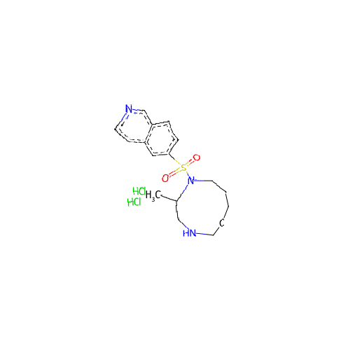 CC1CNCCCCCN1S(=O)(=O)c1ccc2cnccc2c1.Cl.Cl